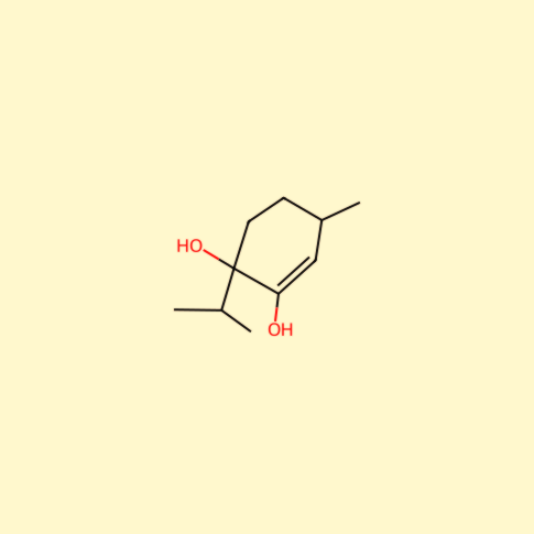 CC1C=C(O)C(O)(C(C)C)CC1